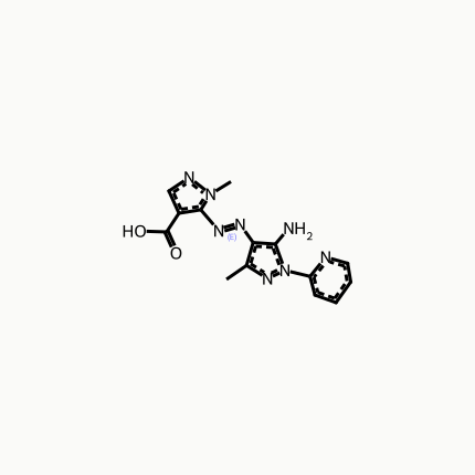 Cc1nn(-c2ccccn2)c(N)c1/N=N/c1c(C(=O)O)cnn1C